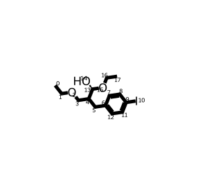 CCOCC(Cc1ccc(I)cc1)[C@H](O)OCC